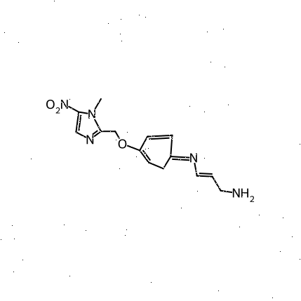 Cn1c([N+](=O)[O-])cnc1COC1=CCC(=NC=CCN)C=C1